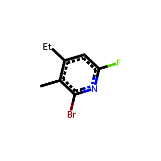 CCc1cc(F)nc(Br)c1C